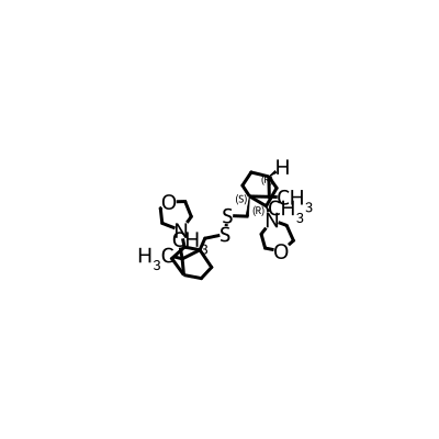 CC1(C)C2CCC1(CSSC[C@]13CC[C@H](C[C@H]1N1CCOCC1)C3(C)C)C(N1CCOCC1)C2